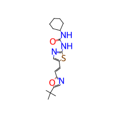 CC(C)(C)c1cnc(C=Cc2cnc(NC(=O)NC3CCCCC3)s2)o1